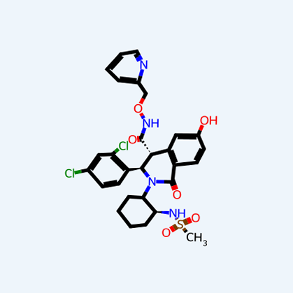 CS(=O)(=O)N[C@H]1CCCCC1N1C(=O)c2ccc(O)cc2[C@@H](C(=O)NOCc2ccccn2)[C@@H]1c1ccc(Cl)cc1Cl